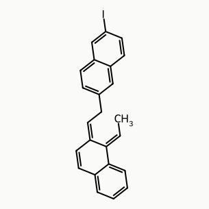 C/C=c1\c(=C/Cc2ccc3cc(I)ccc3c2)ccc2ccccc12